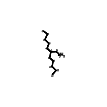 CCCCCC(CN)CCCCC